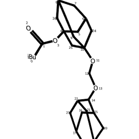 CCC(C)C(=O)OC12CC3CC(CC(OCOC4C5CC6CC(C5)CC4C6)(C3)C1)C2